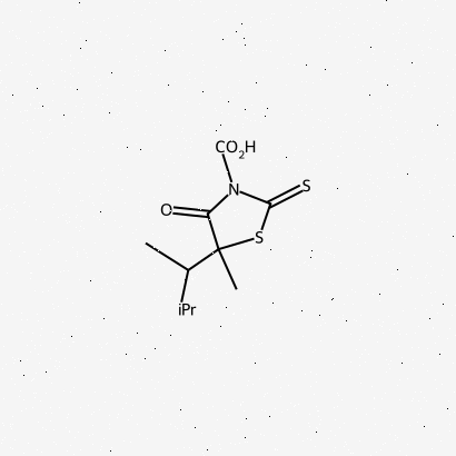 CC(C)C(C)C1(C)SC(=S)N(C(=O)O)C1=O